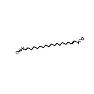 O=C=NC=CCCCCCCCCCCCCCCCCN=C=O